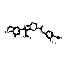 Cc1cc(NC(=O)N2CCn3nc(-c4cc(Cl)c5[nH]ncc5c4)c(C(N)=O)c3C2)ccc1C#N